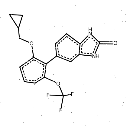 O=c1[nH]c2ccc(-c3c(OCC4CC4)cccc3OC(F)(F)F)cc2[nH]1